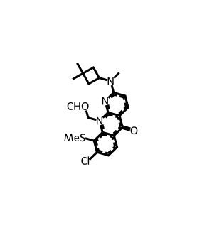 CSc1c(Cl)ccc2c(=O)c3ccc(N(C)C4CC(C)(C)C4)nc3n(CC=O)c12